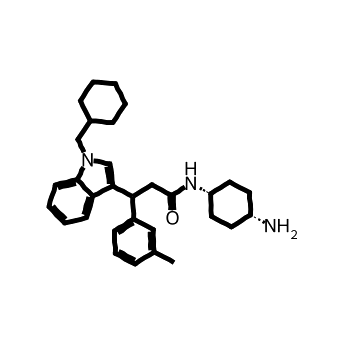 Cc1cccc(C(CC(=O)N[C@H]2CC[C@@H](N)CC2)c2cn(CC3CCCCC3)c3ccccc23)c1